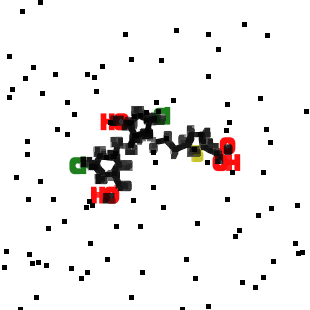 O=C(O)c1ccc(CCC[C@@H]2[C@@H](CCc3cc(Cl)cc(CO)c3)[C@H](O)C[C@@H]2Cl)s1